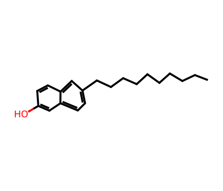 CCCCCCCCCCc1ccc2cc(O)ccc2c1